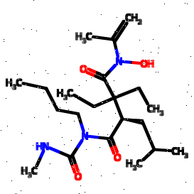 C=C(C)N(O)C(=O)C(CC)(CC)[C@@H](CC(C)C)C(=O)N(CCCC)C(=O)NC